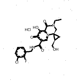 CCN1C[C@]2(C[C@H]2CO)n2cc(C(=O)NCc3cccc(Cl)c3F)c(=O)c(O)c2C1=O.Cl